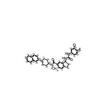 CN(C(=O)c1ccc2c(c1)C(NC(=O)Nc1ccc(F)c(Cl)c1)CC2)C1CCN(c2ccc3cnccc3c2)CC1